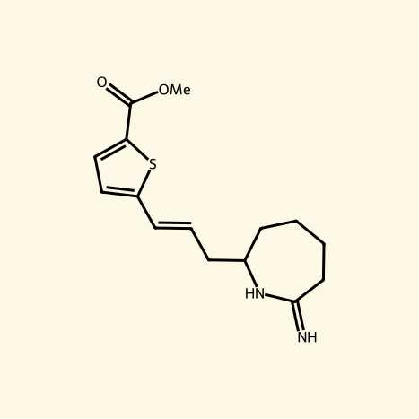 COC(=O)c1ccc(/C=C/CC2CCCCC(=N)N2)s1